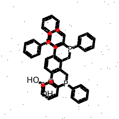 OB(O)Oc1ccc(CP(c2ccccc2)c2ccccc2)c(CP(c2ccccc2)c2ccccc2)c1CP(c1ccccc1)c1ccccc1